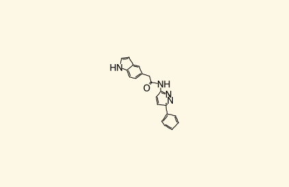 O=C(Cc1ccc2[nH]ccc2c1)Nc1ccc(-c2ccccc2)nn1